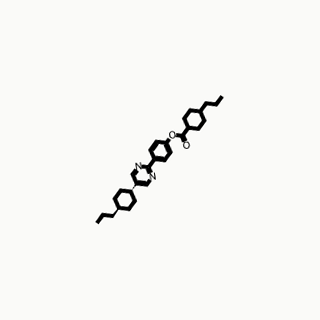 CCCC1CCC(C(=O)Oc2ccc(-c3ncc([C@H]4CC[C@H](CCC)CC4)cn3)cc2)CC1